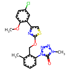 COc1ccc(Cl)cc1-c1csc(OCc2c(C)cccc2-n2nnn(C)c2=O)n1